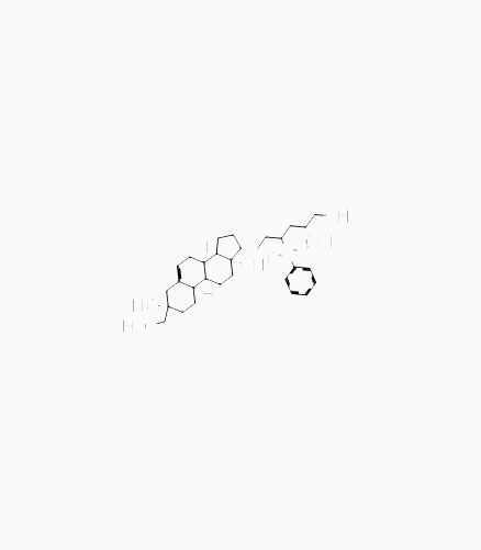 CC[C@H](O)CC(CC[C@H]1CCC2[C@@H]3CC=C4C[C@](O)(CC)CC[C@@H]4C3CC[C@@]21C)S(=O)(=O)c1ccccc1